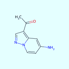 CC(=O)c1cnn2ccc(N)cc12